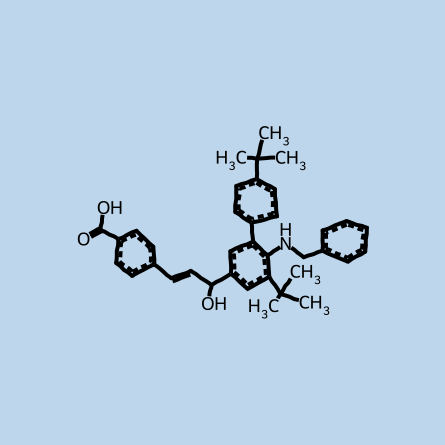 CC(C)(C)c1ccc(-c2cc(C(O)C=Cc3ccc(C(=O)O)cc3)cc(C(C)(C)C)c2NCc2ccccc2)cc1